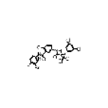 O=C(Nc1ccc(F)c(Br)c1)c1cc(NC(=O)[C@H]2[C@H](c3cc(Cl)cc(Cl)c3)C2(Cl)Cl)ccc1Cl